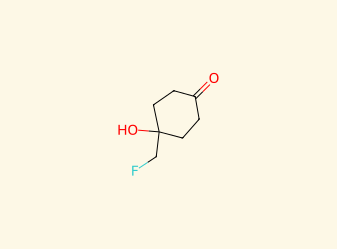 O=C1CCC(O)(CF)CC1